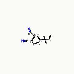 C=CC(C)(C)c1ccc(C#N)c(C#N)c1